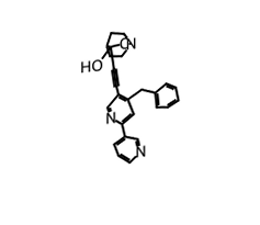 OC1(C#Cc2cnc(-c3cccnc3)cc2Cc2ccccc2)CN2CCC1CC2